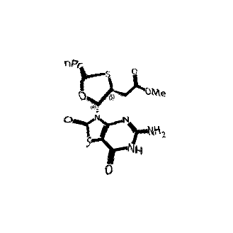 CCCC1O[C@@H](n2c(=O)sc3c(=O)[nH]c(N)nc32)[C@H](CC(=O)OC)S1